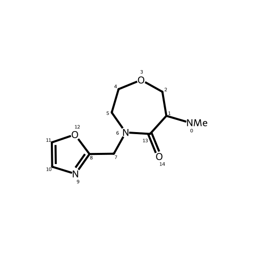 CNC1COCCN(Cc2ncco2)C1=O